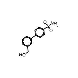 NS(=O)(=O)c1ccc(-c2cccc(CO)c2)cc1